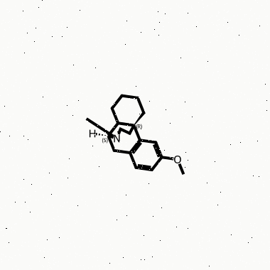 COc1ccc2c(c1)[C@@]13CCCCC1[C@H](C2)N(C)CC3